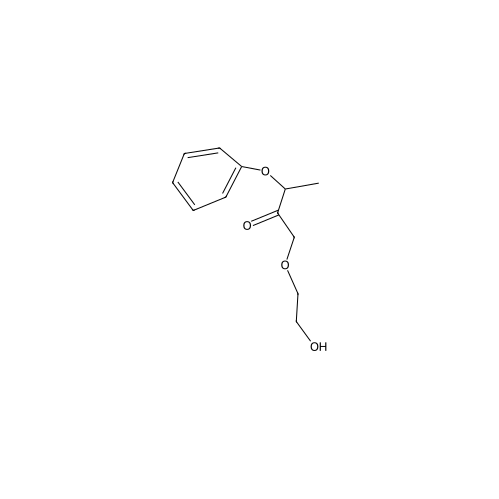 CC(Oc1ccccc1)C(=O)COCCO